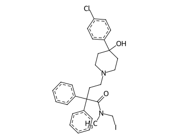 CN(CI)C(=O)C(CCN1CCC(O)(c2ccc(Cl)cc2)CC1)(c1ccccc1)c1ccccc1